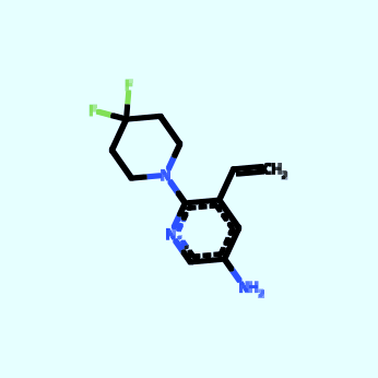 C=Cc1cc(N)cnc1N1CCC(F)(F)CC1